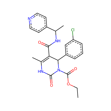 CCOC(=O)N1C(=O)NC(C)=C(C(=O)NC(C)c2ccncc2)C1c1cccc(Cl)c1